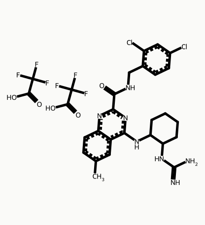 Cc1ccc2nc(C(=O)NCc3ccc(Cl)cc3Cl)nc(NC3CCCCC3NC(=N)N)c2c1.O=C(O)C(F)(F)F.O=C(O)C(F)(F)F